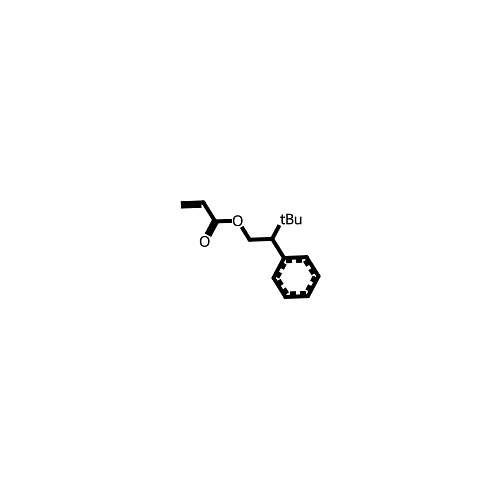 C=CC(=O)OCC(c1ccccc1)C(C)(C)C